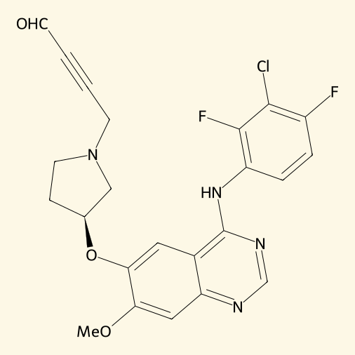 COc1cc2ncnc(Nc3ccc(F)c(Cl)c3F)c2cc1O[C@H]1CCN(CC#CC=O)C1